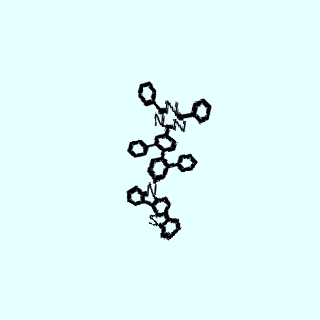 c1ccc(-c2nc(-c3ccccc3)nc(-c3ccc(-c4ccc(-n5c6ccccc6c6c7sc8ccccc8c7ccc65)cc4-c4ccccc4)c(-c4ccccc4)c3)n2)cc1